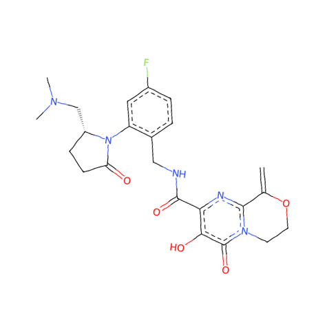 C=C1OCCn2c1nc(C(=O)NCc1ccc(F)cc1N1C(=O)CC[C@@H]1CN(C)C)c(O)c2=O